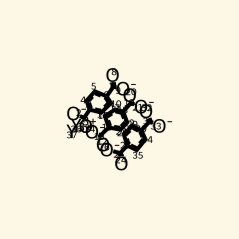 O=C([O-])c1ccc(C(=O)[O-])cc1.O=C([O-])c1ccc(C(=O)[O-])cc1.O=C([O-])c1ccc(C(=O)[O-])cc1.[Y+3].[Y+3]